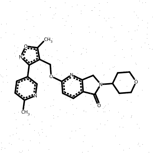 Cc1ccc(-c2noc(C)c2COc2ccc3c(n2)CN(C2CCOCC2)C3=O)cn1